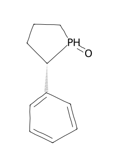 O=[PH]1CCC[C@H]1c1ccccc1